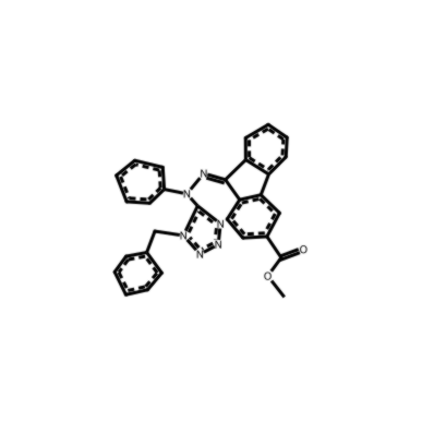 COC(=O)c1ccc2c(c1)-c1ccccc1/C2=N/N(c1ccccc1)c1nnnn1Cc1ccccc1